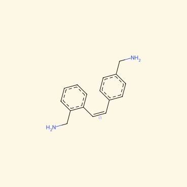 NCc1ccc(/C=C\c2ccccc2CN)cc1